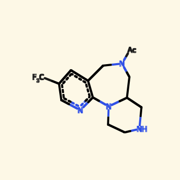 CC(=O)N1Cc2cc(C(F)(F)F)cnc2N2CCNCC2C1